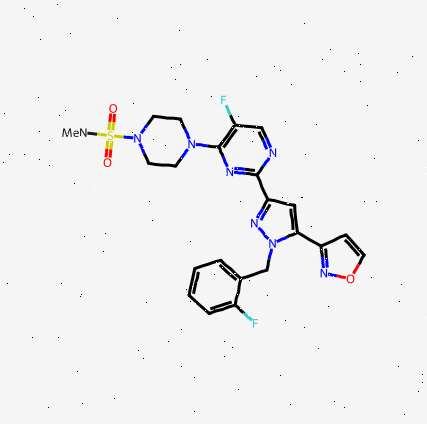 CNS(=O)(=O)N1CCN(c2nc(-c3cc(-c4ccon4)n(Cc4ccccc4F)n3)ncc2F)CC1